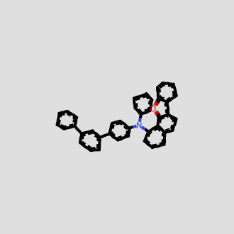 c1ccc(-c2cccc(-c3ccc(N(c4ccccc4)c4cccc5ccc6c7ccccc7oc6c45)cc3)c2)cc1